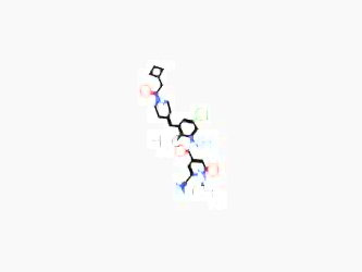 CCn1c(C#N)cc(C(=O)Nc2cc(Cl)cc(C=C3CCN(C(=O)CC4CCC4)CC3)c2C)cc1=O